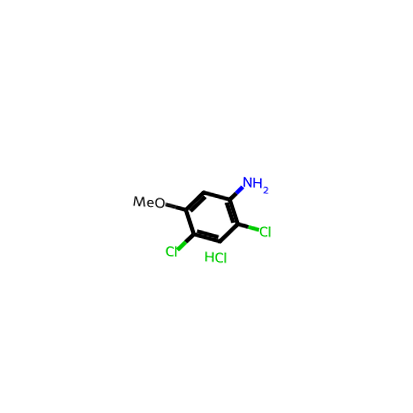 COc1cc(N)c(Cl)cc1Cl.Cl